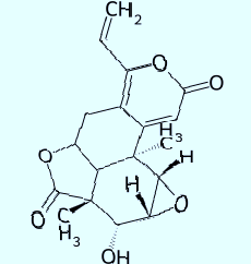 C=Cc1oc(=O)cc2c1CC1OC(=O)[C@]3(C)C1[C@]2(C)[C@@H]1O[C@@H]1[C@@H]3O